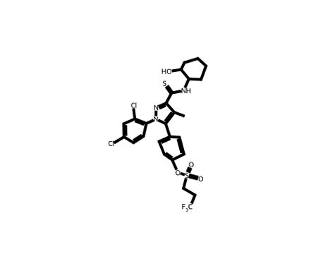 Cc1c(C(=S)NC2CCCCC2O)nn(-c2ccc(Cl)cc2Cl)c1-c1ccc(OS(=O)(=O)CCC(F)(F)F)cc1